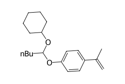 C=C(C)c1ccc(OC(CCCC)OC2CCCCC2)cc1